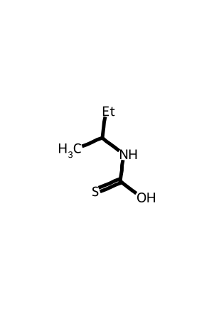 CCC(C)NC(O)=S